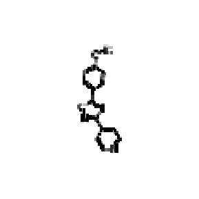 CCOc1ccc(-c2nc(-c3ccncc3)no2)cc1